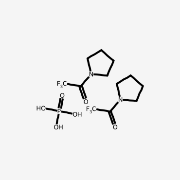 O=C(N1CCCC1)C(F)(F)F.O=C(N1CCCC1)C(F)(F)F.O=P(O)(O)O